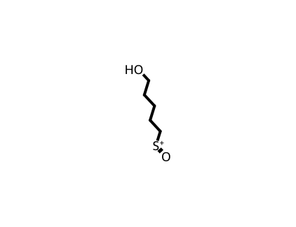 O=[S+]CCCCCO